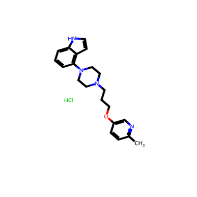 Cc1ccc(OCCCN2CCN(c3cccc4[nH]ccc34)CC2)cn1.Cl